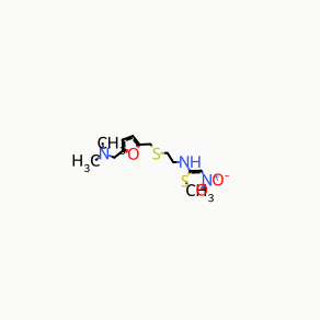 CS/C(=C\[N+](=O)[O-])NCCSCc1ccc(CN(C)C)o1